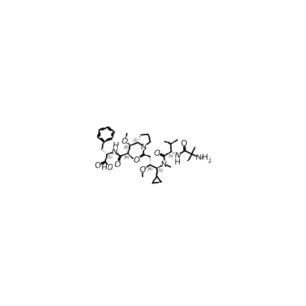 CO[C@H]([C@@H](C)C(=O)N[C@@H](Cc1ccccc1)C(=O)O)[C@@H]1CCCN1C(=O)C[C@@H](OC)[C@H](C1CC1)N(C)C(=O)[C@@H](NC(=O)C(C)(C)N)C(C)C